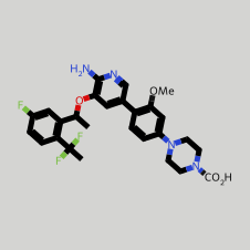 COc1cc(N2CCN(C(=O)O)CC2)ccc1-c1cnc(N)c(OC(C)c2cc(F)ccc2C(C)(F)F)c1